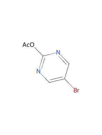 CC(=O)Oc1ncc(Br)cn1